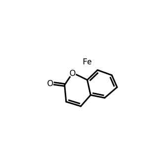 O=c1ccc2ccccc2o1.[Fe]